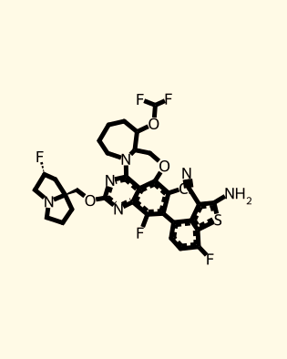 N#Cc1c(N)sc2c(F)ccc(-c3c(Cl)c4c5c(nc(OC[C@@]67CCCN6C[C@H](F)C7)nc5c3F)N3CCCCC(OC(F)F)C3CO4)c12